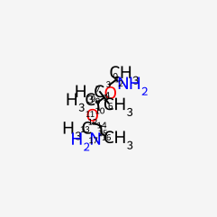 CC(N)COC(C)(C)C(C)COC(C)CC(C)N